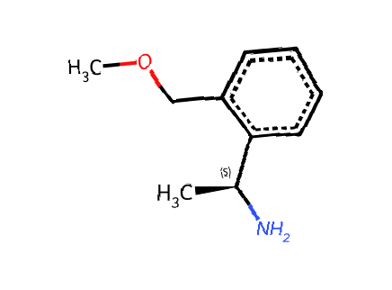 COCc1ccccc1[C@H](C)N